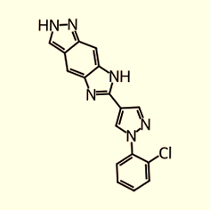 Clc1ccccc1-n1cc(-c2nc3cc4c[nH]nc4cc3[nH]2)cn1